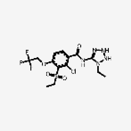 CCN1NNN=C1NC(=O)c1ccc(OCC(F)(F)F)c(S(=O)(=O)CC)c1Cl